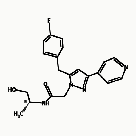 C[C@H](CO)NC(=O)Cn1nc(-c2ccncc2)cc1Cc1ccc(F)cc1